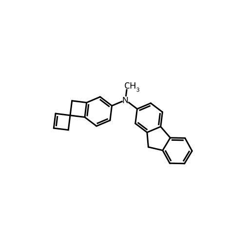 CN(c1ccc2c(c1)Cc1ccccc1-2)c1ccc2c(c1)CC21C=CC1